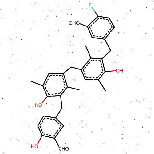 Cc1cc(Cc2cc(C)c(O)c(Cc3ccc(F)c(C=O)c3)c2C)c(C)c(Cc2ccc(O)c(C=O)c2)c1O